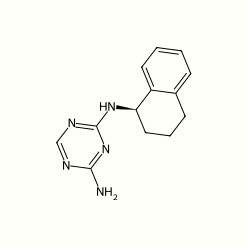 Nc1ncnc(N[C@@H]2CCCc3ccccc32)n1